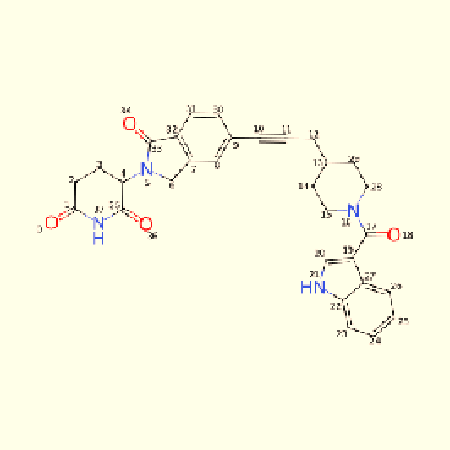 O=C1CCC(N2Cc3cc(C#CCC4CCN(C(=O)c5c[nH]c6ccccc56)CC4)ccc3C2=O)C(=O)N1